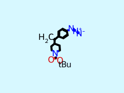 C=C(c1ccc(N=[N+]=[N-])cc1)C1CCN(C(=O)OC(C)(C)C)CC1